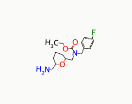 CCOC(=O)N(Cc1ccc(F)cc1)CC1CCCC(CN)O1